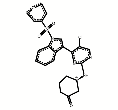 O=C1CCC[C@@H](Nc2ncc(Cl)c(-c3cn(S(=O)(=O)c4ccccc4)c4ccccc34)n2)C1